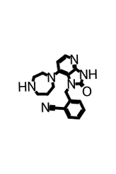 N#Cc1ccccc1Cn1c(=O)[nH]c2nccc(N3CCCNCC3)c21